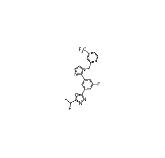 Fc1cc(-c2nnc(C(F)F)o2)cc(-c2nccn2Cc2cccc(C(F)(F)F)c2)c1